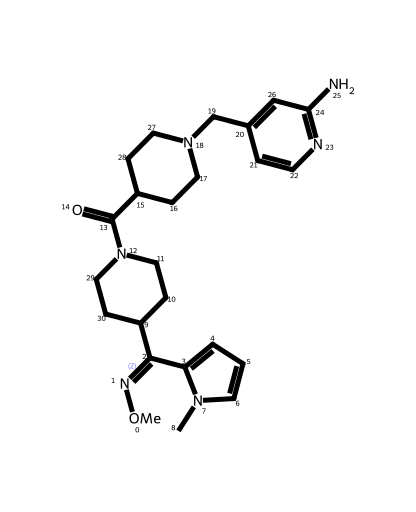 CO/N=C(\c1cccn1C)C1CCN(C(=O)C2CCN(Cc3ccnc(N)c3)CC2)CC1